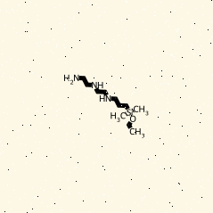 CCO[Si](C)(C)CCCNCCNCCN